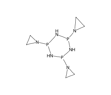 C1CN1P1NP(N2CC2)NP(N2CC2)N1